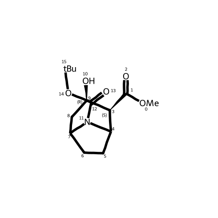 COC(=O)[C@H]1C2CCC(C[C@H]1O)N2C(=O)OC(C)(C)C